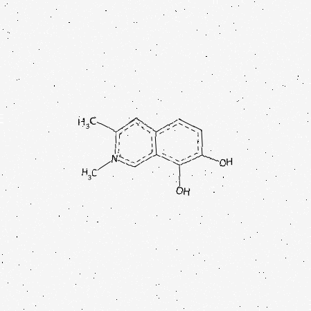 Cc1cc2ccc(O)c(O)c2c[n+]1C